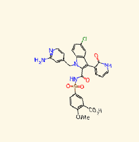 COc1ccc(S(=O)(=O)NC(=O)c2c(-c3ccc[nH]c3=O)c3cc(Cl)ccc3n2Cc2ccnc(N)c2)cc1C(=O)O